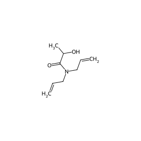 C=CCN(CC=C)C(=O)C(C)O